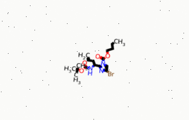 C=CCC(NC(=O)OC(C)(C)C)c1nc(Br)cn1C(=O)OCCCC